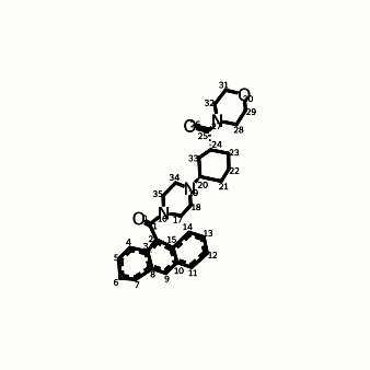 O=C(c1c2ccccc2cc2ccccc12)N1CCN([C@@H]2CCC[C@@H](C(=O)N3CCOCC3)C2)CC1